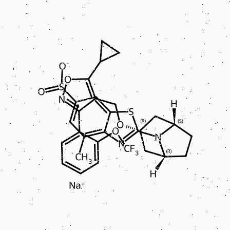 Cc1cc(S(=O)[O-])cc2sc(N3[C@@H]4CC[C@H]3C[C@@H](OCc3c(-c5ccccc5OC(F)(F)F)noc3C3CC3)C4)nc12.[Na+]